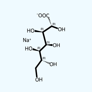 O=C([O-])[C@H](O)[C@H](O)[C@@H](O)[C@H](O)[C@H](O)CO.[Na+]